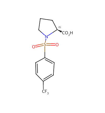 O=C(O)[C@@H]1CCCN1S(=O)(=O)c1ccc(C(F)(F)F)cc1